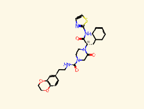 O=C(Nc1nccs1)[C@H](CC1CCCCC1)N1CCN(C(=O)NCCc2ccc3c(c2)OCCO3)CC1=O